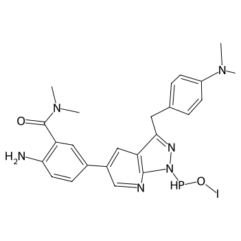 CN(C)C(=O)c1cc(-c2cnc3c(c2)c(Cc2ccc(N(C)C)cc2)nn3POI)ccc1N